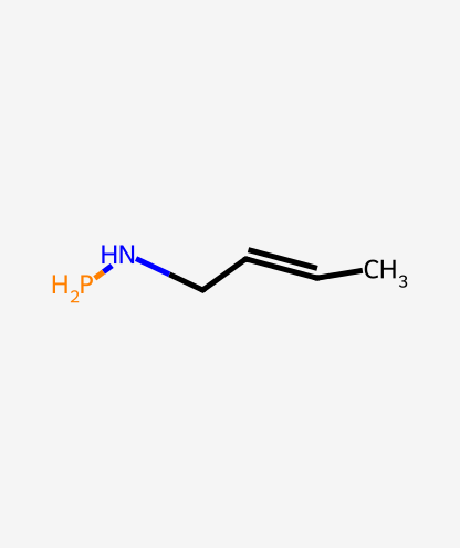 CC=CCNP